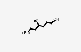 CCCCCCC(Br)CCCO